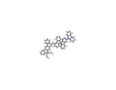 CC1(C)c2ccccc2-c2cc3c(cc21)CC(Cc1cccc([Si](c2ccccc2)(c2ccccc2)c2ccc(-n4c5ccccc5c5ccccc54)cc2)c1)c1ccccc1-3